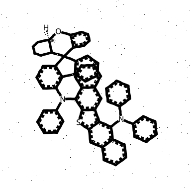 c1ccc(N(c2cccc3c2-c2ccccc2C32c3ccccc3O[C@@H]3CCCCC32)c2c3ccccc3cc3c2sc2cc4ccccc4c(N(c4ccccc4)c4ccccc4)c23)cc1